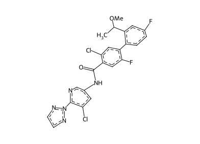 COC(C)c1cc(F)ccc1-c1cc(Cl)c(C(=O)Nc2cnc(-n3nccn3)c(Cl)c2)cc1F